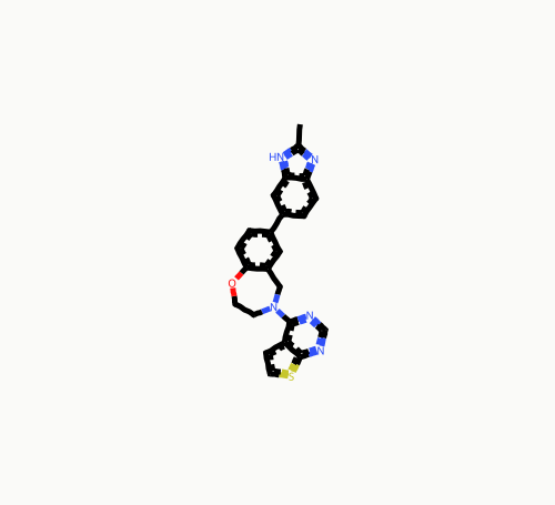 Cc1nc2ccc(-c3ccc4c(c3)CN(c3ncnc5sccc35)CCO4)cc2[nH]1